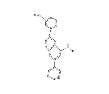 COc1cccc(-c2ccc3nc(-c4cccnc4)nc(NC(C)C)c3c2)c1